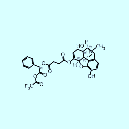 CN1CC[C@]23c4c5ccc(O)c4O[C@H]2C(OC(=O)CCC(=O)O[C@H](C(=O)OC(=O)C(F)(F)F)c2ccccc2)=CC[C@@]3(O)[C@H]1C5